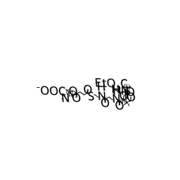 CCOC(=O)[C@H](C)NP1(=O)OCC(C)(C)[C@H](C(=O)NCCC(=O)NCCSC(=O)CCC(=O)O[C@H](CC(=O)[O-])C[N+](C)(C)C)O1